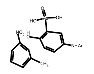 CC(=O)Nc1ccc(O)c([As](=O)(O)O)c1.Cc1cccc([N+](=O)[O-])c1